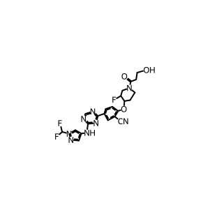 N#Cc1cc(-c2ncnc(Nc3cnn(C(F)F)c3)n2)ccc1OC1CCN(C(=O)CCO)CC1F